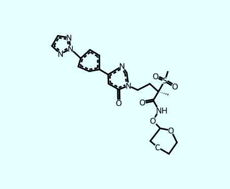 C[C@@](CCn1cnc(-c2ccc(-n3nccn3)cc2)cc1=O)(C(=O)NOC1CCCCO1)S(C)(=O)=O